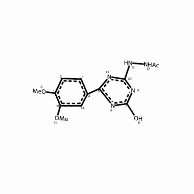 COc1ccc(-c2nc(O)nc(NNC(C)=O)n2)cc1OC